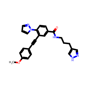 COc1ccc(C#Cc2cc(C(=O)NCCCc3cn[nH]c3)ccc2-n2cccn2)cc1